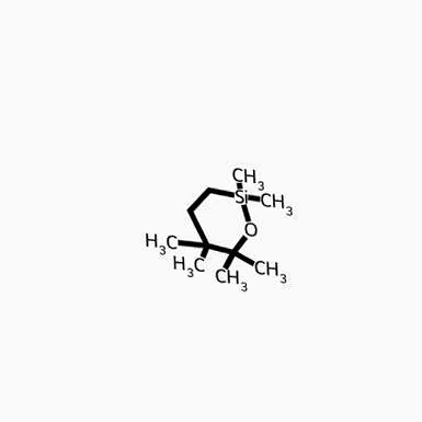 CC1(C)CC[Si](C)(C)OC1(C)C